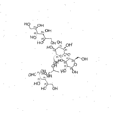 CC(O)C(=O)O.O=C[C@H](O)[C@@H](O)[C@H](O)[C@H](O)CO.OC[C@@H](O)[C@@H](O)[C@H](O)[C@H](O)CO.OC[C@H]1O[C@H](O[C@H]2[C@H](O)[C@@H](O)[C@H](O)O[C@@H]2CO)[C@H](O)[C@@H](O)[C@@H]1O